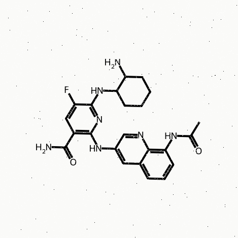 CC(=O)Nc1cccc2cc(Nc3nc(NC4CCCCC4N)c(F)cc3C(N)=O)cnc12